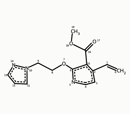 C=Cc1ccnc(OCCn2cccn2)c1C(=O)OC